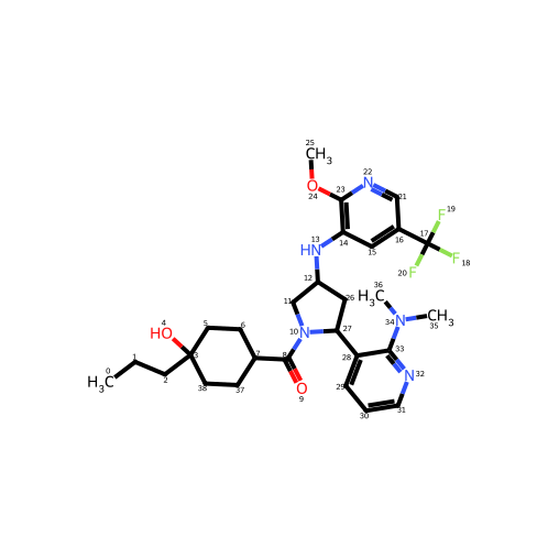 CCCC1(O)CCC(C(=O)N2CC(Nc3cc(C(F)(F)F)cnc3OC)CC2c2cccnc2N(C)C)CC1